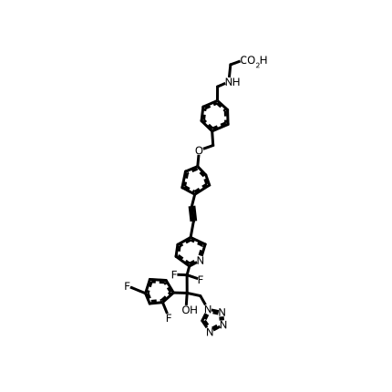 O=C(O)CNCc1ccc(COc2ccc(C#Cc3ccc(C(F)(F)C(O)(Cn4cnnn4)c4ccc(F)cc4F)nc3)cc2)cc1